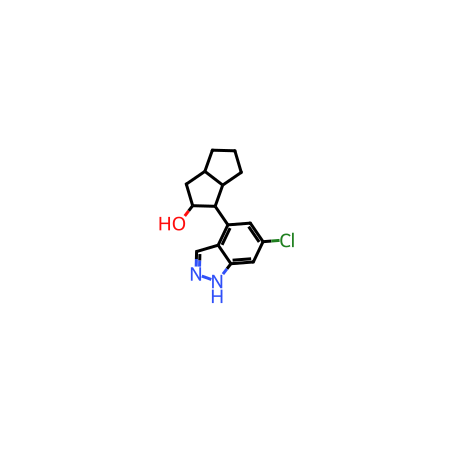 OC1CC2CCCC2C1c1cc(Cl)cc2[nH]ncc12